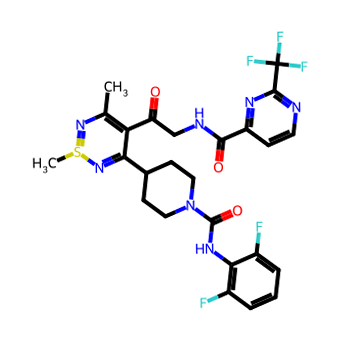 CC1=C(C(=O)CNC(=O)c2ccnc(C(F)(F)F)n2)C(C2CCN(C(=O)Nc3c(F)cccc3F)CC2)=NS(C)=N1